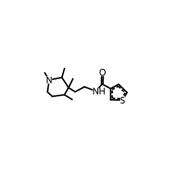 CC1CCN(C)C(C)C1(C)CCNC(=O)c1ccsc1